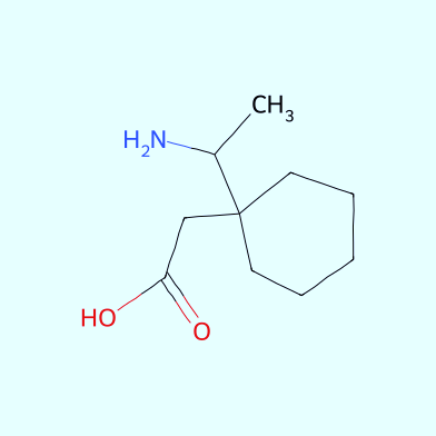 CC(N)C1(CC(=O)O)CCCCC1